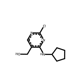 OCc1cnc(Cl)nc1NC1CCCC1